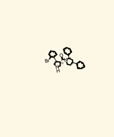 O=C([C@@H]1CNC[C@H]1c1ccccc1Br)N1CC[C@H](c2ccccc2)C[C@@H]1c1ccccc1